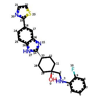 O[C@]1(CNc2ccccc2F)CC[C@@H](c2nc3cc(-c4nccs4)ccc3[nH]2)CC1